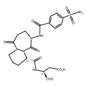 NS(=O)(=O)c1ccc(C(=O)NN2CCC(=O)N3CCC[C@@H](C(=O)N[C@H](C=O)CC(=O)O)N3C2=O)cc1